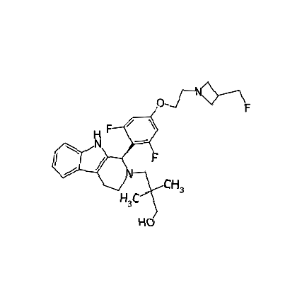 CC(C)(CO)CN1CCc2c([nH]c3ccccc23)[C@H]1c1c(F)cc(OCCN2CC(CF)C2)cc1F